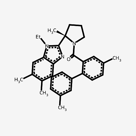 CCn1c([C@]2(C)CCCN2C(=O)c2cc(C)ccc2-c2cccc(C)c2)nc2cc(C)c(C)cc21